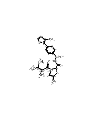 Cc1ncsc1-c1ccc(CNC(=O)C2CC(O)CN2C(=O)[C@@H](N)C(C)C)cc1.Cl